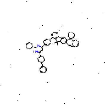 CC1(C)c2cc3c(cc2-c2cccc(C4C=CC(C5=NC(C6=CC=CCC6)NC(C6=CC=C(c7ccccc7)CC6)=C5)=CC4)c21)C1(CCCCC1)C1=CC=CC2C1C32